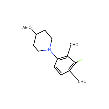 COC1CCN(c2ccc(C=O)c(F)c2C=O)CC1